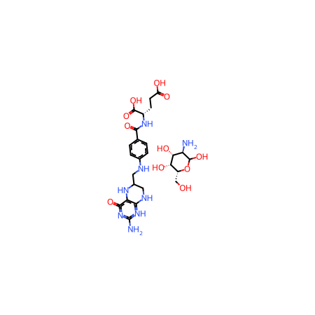 N[C@H]1C(O)O[C@H](CO)[C@H](O)[C@@H]1O.Nc1nc(=O)c2c([nH]1)NCC(CNc1ccc(C(=O)N[C@@H](CCC(=O)O)C(=O)O)cc1)N2